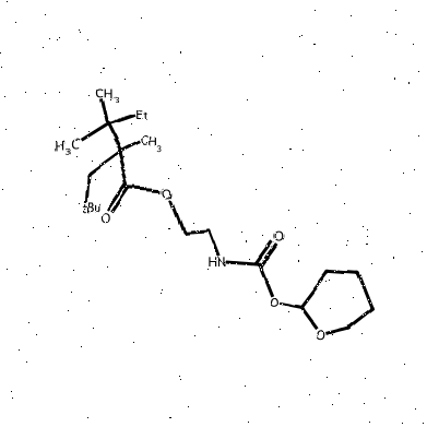 CCC(C)(C)C(C)(CC(C)(C)C)C(=O)OCCNC(=O)OC1CCCCO1